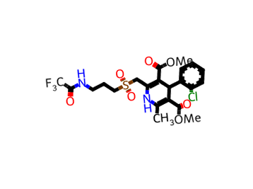 COC(=O)C1=C(C)NC(CS(=O)(=O)CCCNC(=O)C(F)(F)F)=C(C(=O)OC)C1c1ccccc1Cl